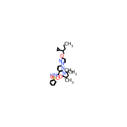 CCCC(COc1ccn(-c2ccc(C(=O)NS(=O)(=O)c3ccccc3)c(N3C[C@@H](C)CC3(C)C)n2)n1)C1CC1